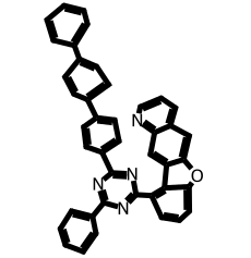 c1ccc(-c2ccc(-c3ccc(-c4nc(-c5ccccc5)nc(-c5cccc6oc7cc8cccnc8cc7c56)n4)cc3)cc2)cc1